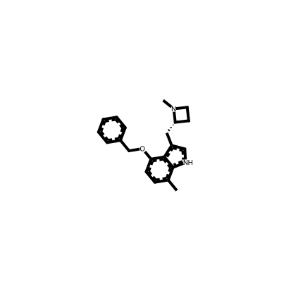 Cc1ccc(OCc2ccccc2)c2c(C[C@H]3CCN3C)c[nH]c12